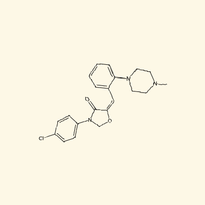 CN1CCN(c2ccccc2/C=C2/OCN(c3ccc(Cl)cc3)C2=O)CC1